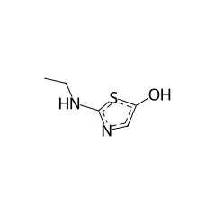 CCNc1ncc(O)s1